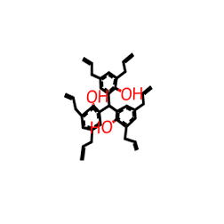 C=CCc1cc(CC=C)c(O)c(C(c2cc(CC=C)cc(CC=C)c2O)c2cc(CC=C)cc(CC=C)c2O)c1